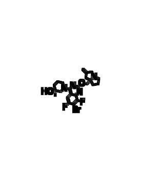 C=C1CN2CCCC2(COc2nc(N3CCC[C@@](C)(O)C3)c3cc(F)c(Br)c(F)c3n2)C1